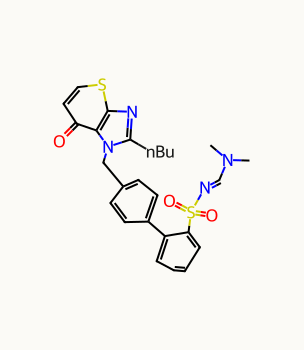 CCCCc1nc2sccc(=O)c2n1Cc1ccc(-c2ccccc2S(=O)(=O)N=CN(C)C)cc1